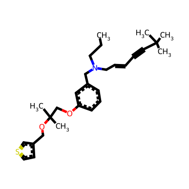 CCCN(CC=CC#CC(C)(C)C)Cc1cccc(OCC(C)(C)OCc2ccsc2)c1